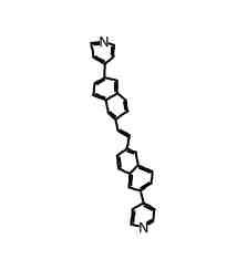 C(=C\c1ccc2cc(-c3ccncc3)ccc2c1)/c1ccc2cc(-c3ccncc3)ccc2c1